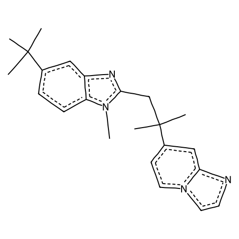 Cn1c(CC(C)(C)c2ccn3ccnc3c2)nc2cc(C(C)(C)C)ccc21